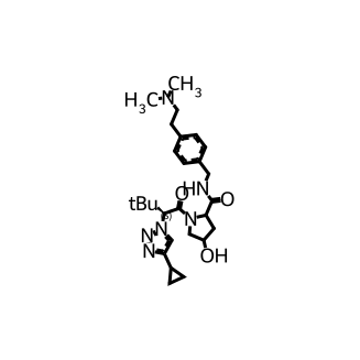 CN(C)CCc1ccc(CNC(=O)C2CC(O)CN2C(=O)[C@@H](n2cc(C3CC3)nn2)C(C)(C)C)cc1